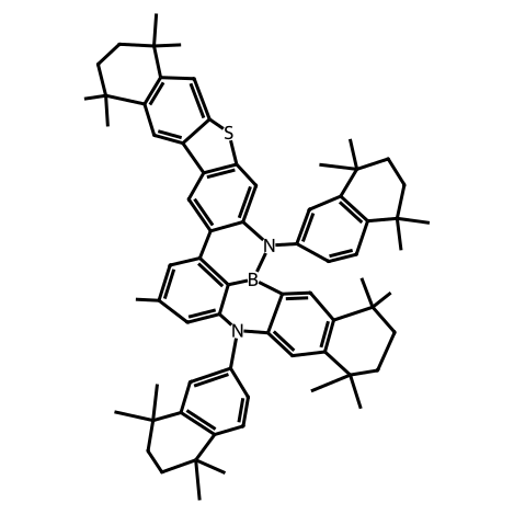 Cc1cc2c3c(c1)N(c1ccc4c(c1)C(C)(C)CCC4(C)C)c1cc4c(cc1B3N(c1ccc3c(c1)C(C)(C)CCC3(C)C)c1cc3sc5cc6c(cc5c3cc1-2)C(C)(C)CCC6(C)C)C(C)(C)CCC4(C)C